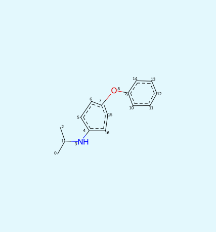 CC(C)Nc1ccc(Oc2ccccc2)cc1